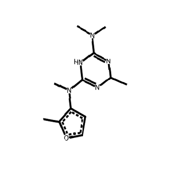 Cc1occc1N(C)C1=NC(C)N=C(N(C)C)N1